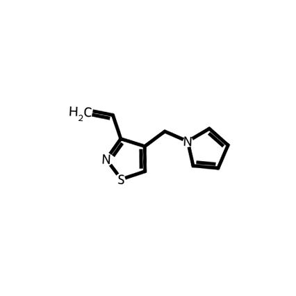 C=Cc1nscc1Cn1cccc1